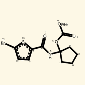 COC(=O)OC1(NC(=O)c2ccc(Br)s2)CCCC1